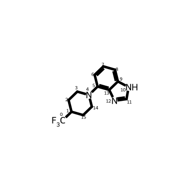 FC(F)(F)C1CCN(c2cccc3[nH]cnc23)CC1